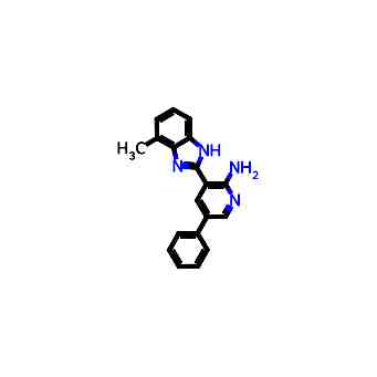 Cc1cccc2[nH]c(-c3cc(-c4ccccc4)cnc3N)nc12